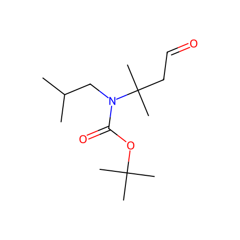 CC(C)CN(C(=O)OC(C)(C)C)C(C)(C)CC=O